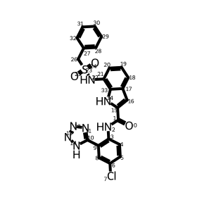 O=C(Nc1ccc(Cl)cc1-c1nnn[nH]1)c1cc2cccc(NS(=O)(=O)Cc3ccccc3)c2[nH]1